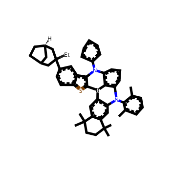 CCC1(c2ccc3sc4c(c3c2)N(c2ccccc2)c2cccc3c2B4c2cc4c(cc2N3c2c(C)cccc2C)C(C)(C)CCC4(C)C)CC2CC[C@H](C2)C1